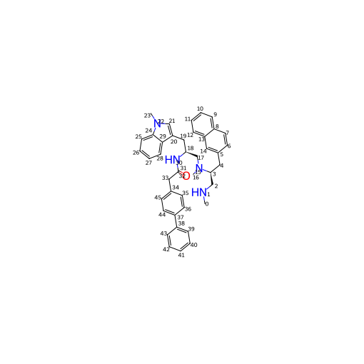 CNC[C@H](Cc1ccc2ccccc2c1)N(C)C[C@H](Cc1cn(C)c2ccccc12)NC(=O)Cc1ccc(-c2ccccc2)cc1